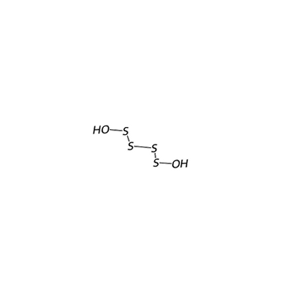 OSSSSO